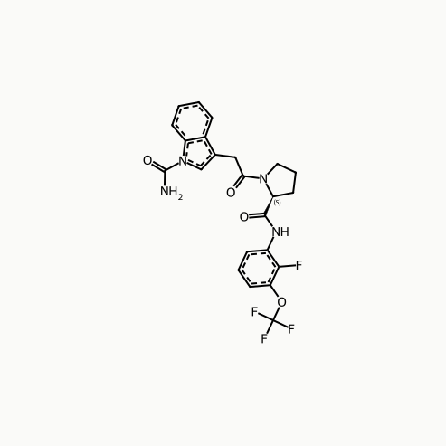 NC(=O)n1cc(CC(=O)N2CCC[C@H]2C(=O)Nc2cccc(OC(F)(F)F)c2F)c2ccccc21